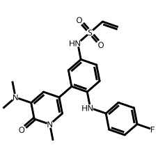 C=CS(=O)(=O)Nc1ccc(Nc2ccc(F)cc2)c(-c2cc(N(C)C)c(=O)n(C)c2)c1